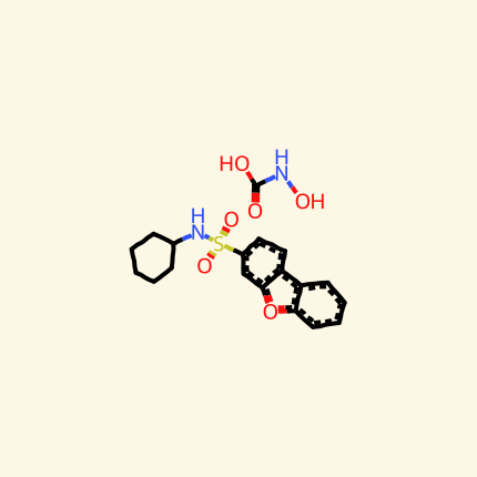 O=C(O)NO.O=S(=O)(NC1CCCCC1)c1ccc2c(c1)oc1ccccc12